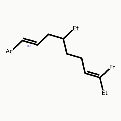 CCC(=CCCC(CC)C/C=C/C(C)=O)CC